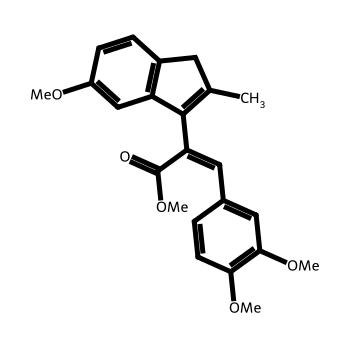 COC(=O)C(=Cc1ccc(OC)c(OC)c1)C1=C(C)Cc2ccc(OC)cc21